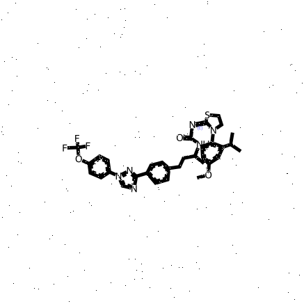 COc1ccc(N2CCS/C2=N/C(=O)NC(C)CCc2ccc(-c3ncn(-c4ccc(OC(F)(F)F)cc4)n3)cc2)c(C(C)C)c1